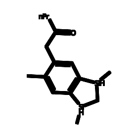 CCCC(=O)Cc1cc2c(cc1C)[SiH](C)C[SiH]2C